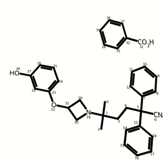 CC(C)(CCC(C#N)(c1ccccc1)c1ccccc1)N1CC(Oc2cccc(O)c2)C1.O=C(O)c1ccccc1